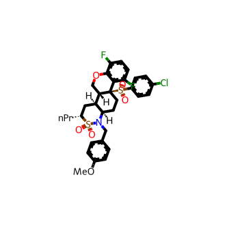 CCC[C@@H]1C[C@@H]2[C@@H](CC[C@@]3(S(=O)(=O)c4ccc(Cl)cc4)c4c(F)ccc(F)c4OC[C@@H]23)N(Cc2ccc(OC)cc2)S1(=O)=O